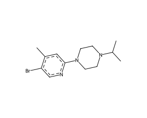 Cc1cc(N2CCN(C(C)C)CC2)ncc1Br